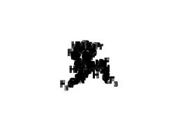 CC(C)NC(=O)O[C@H]1CC[C@@H](c2cc(Nc3ncc(F)c4nc(COC(F)(F)F)cn34)[n+](Cc3cn4nc(COC(F)(F)F)cc4c(Nc4cc([C@H]5C[C@@H](F)[C@@H](OC(=O)NC(C)C)C5)[nH]n4)n3)[nH]2)[C@H]1F